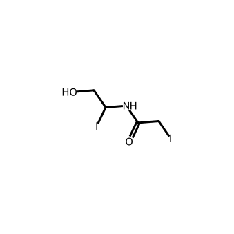 O=C(CI)NC(I)CO